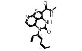 C=C/C(=C\C=C/C)N1C(=O)Nc2c(C(=O)NC)sc3nccc1c23